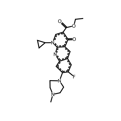 CCOC(=O)c1cn(C2CC2)c2nc3cc(N4CCN(C)CC4)c(F)cc3cc2c1=O